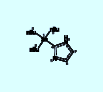 CCC[CH2][Sn]([CH2]CCC)([CH2]CCC)[c]1ncc[nH]1